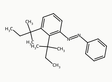 CCC(C)(C)c1cccc(N=Nc2ccccc2)c1C(C)(C)CC